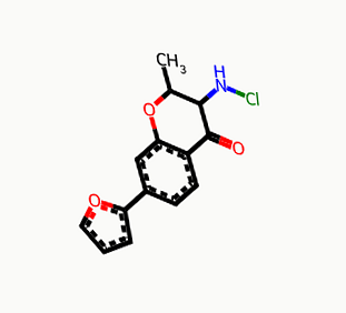 CC1Oc2cc(-c3ccco3)ccc2C(=O)C1NCl